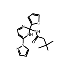 CC(C)(C)CC(=O)NC1(c2ccco2)N=CC=C(n2cccn2)N1